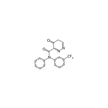 O=C1CC=NN=C1C(=O)N(c1ccccc1)c1cccc(C(F)(F)F)c1